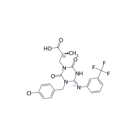 C[C@@H](Cn1c(=O)[nH]/c(=N\c2cccc(C(F)(F)F)c2)n(Cc2ccc(Cl)cc2)c1=O)C(=O)O